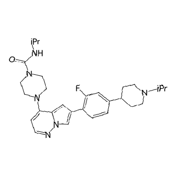 CC(C)NC(=O)N1CCN(c2ccnn3cc(-c4ccc(C5CCN(C(C)C)CC5)cc4F)cc23)CC1